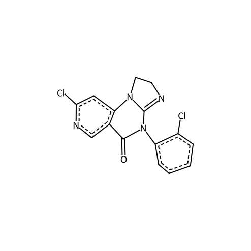 O=C1c2cnc(Cl)cc2N2CCN=C2N1c1ccccc1Cl